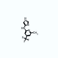 Cc1cc(C(F)(F)F)cc(Nc2c[nH]cn2)n1